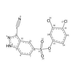 N#Cc1n[nH]c2ccc(S(=O)(=O)Oc3ccc(Cl)c(Cl)c3)cc12